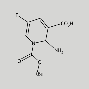 CC(C)(C)OC(=O)N1C=C(F)C=C(C(=O)O)C1N